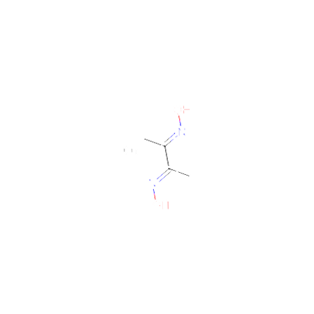 CC(=N\O)/C(C)=N/O.[Cu]